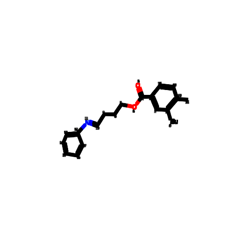 CCC(C)c1cc(C(=O)OCCCC=Nc2ccccc2)ccc1C